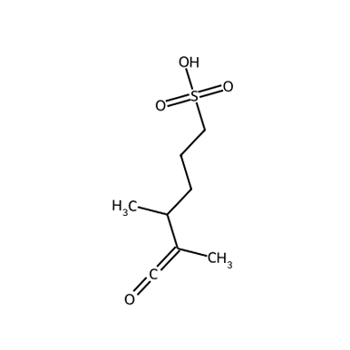 CC(=C=O)C(C)CCCS(=O)(=O)O